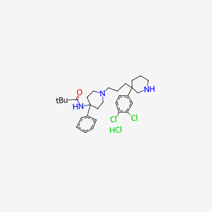 CC(C)(C)C(=O)NC1(c2ccccc2)CCN(CCCC2(c3ccc(Cl)c(Cl)c3)CCCNC2)CC1.Cl